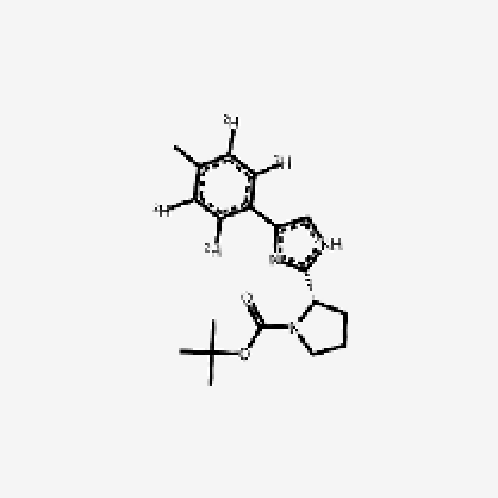 [2H]c1c([2H])c(-c2c[nH]c([C@@H]3CCCN3C(=O)OC(C)(C)C)n2)c([2H])c([2H])c1C